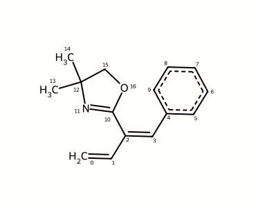 C=CC(=Cc1ccccc1)C1=NC(C)(C)CO1